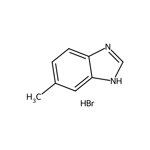 Br.Cc1ccc2nc[nH]c2c1